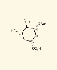 CO[C@@H]1O[C@H](C(=O)O)C[C@H](O)C1C